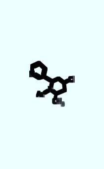 CC(=O)N1C(c2cccnc2)CC(Cl)C[C@H]1C